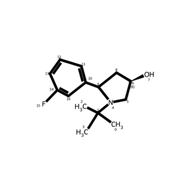 CC(C)(C)N1C[C@H](O)CC1c1cccc(F)c1